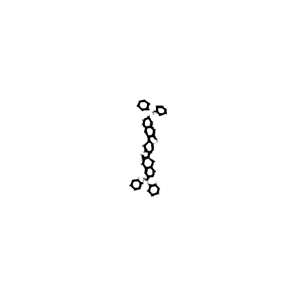 c1ccc(N(c2ccccc2)c2ccc3cc4c(cc3c2)sc2cc3c(cc24)sc2cc4cc(N(c5ccccc5)c5ccccc5)ccc4cc23)cc1